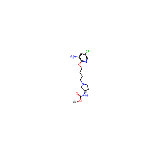 CC(C)(C)OC(=O)N[C@@H]1CCN(CCCCOc2ncc(Cl)cc2N)C1